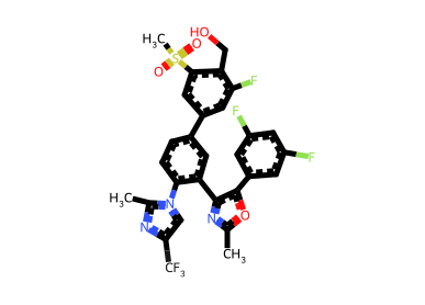 Cc1nc(-c2cc(-c3cc(F)c(CO)c(S(C)(=O)=O)c3)ccc2-n2cc(C(F)(F)F)nc2C)c(-c2cc(F)cc(F)c2)o1